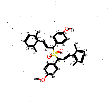 COc1ccc(C(C=Cc2c(C)cccc2C)S(=O)(=O)C(C=Cc2c(C)cccc2C)c2ccc(OC)cc2)cc1